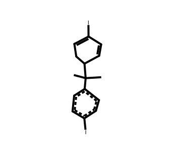 CC(C)(c1ccc(I)cc1)C1C=CC(I)=CC1